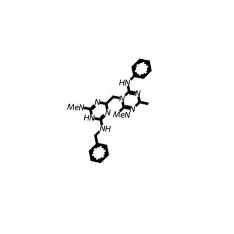 CNC1=NC(CN2C(NC)=NC(C)N=C2Nc2ccccc2)N=C(NCc2ccccc2)N1